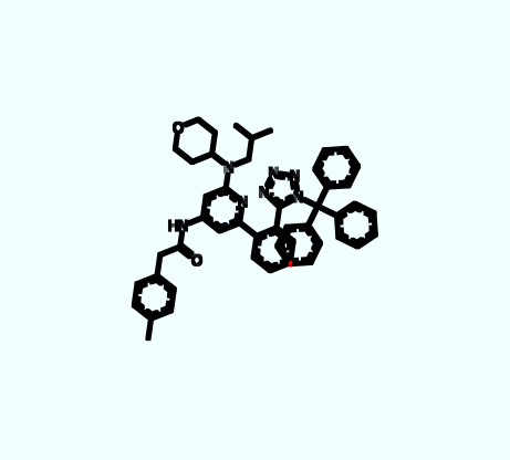 Cc1ccc(CC(=O)Nc2cc(-c3ccccc3-c3nnnn3C(c3ccccc3)(c3ccccc3)c3ccccc3)nc(N(CC(C)C)C3CCOCC3)c2)cc1